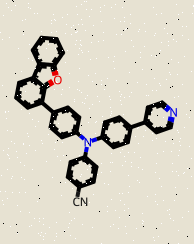 N#Cc1ccc(N(c2ccc(-c3ccncc3)cc2)c2ccc(-c3cccc4c3oc3ccccc34)cc2)cc1